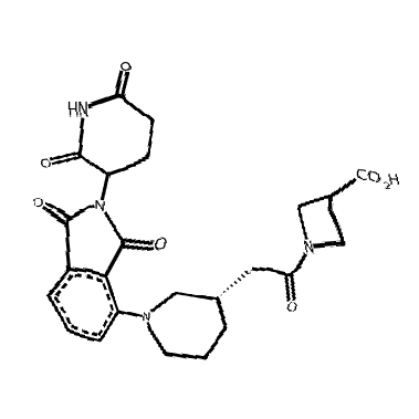 O=C1CCC(N2C(=O)c3cccc(N4CCC[C@@H](CC(=O)N5CC(C(=O)O)C5)C4)c3C2=O)C(=O)N1